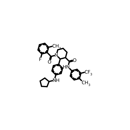 Cc1ccc(NC(=O)C2CCCN(C(=O)c3c(C)cccc3F)C2c2ccc(NC3CCCC3)cc2)cc1C(F)(F)F